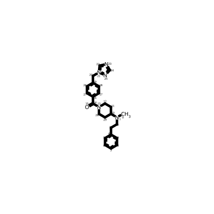 CN(CCc1ccccc1)C1CCN(C(=O)c2ccc(Cn3cncn3)cc2)CC1